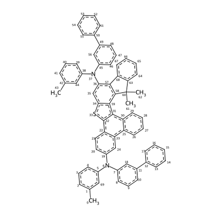 Cc1cccc(N(c2cccc(-c3ccccc3)c2)c2ccc3c(c2)c2ccccc2c2c3sc3cc(N(c4cccc(C)c4)c4cccc(-c5ccccc5)c4)c4c(c32)C(C)(C)c2ccccc2-4)c1